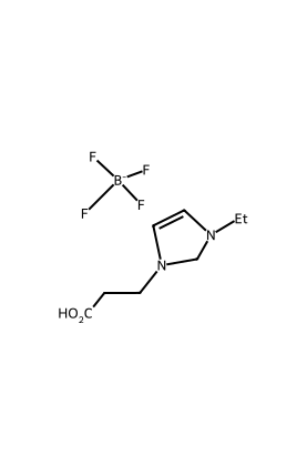 CCN1C=CN(CCC(=O)O)C1.F[B-](F)(F)F